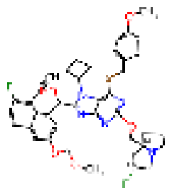 C#Cc1c(F)ccc2cc(OCOC)cc(C(O)c3nc4nc(OC[C@@]56CCCN5C[C@H](F)C6)nc(SCc5ccc(OC)cc5)c4n3C3CCC3)c12